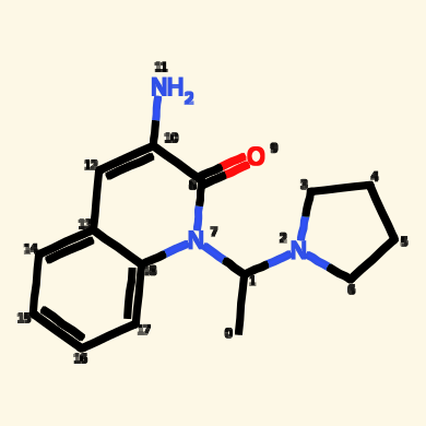 CC(N1CCCC1)n1c(=O)c(N)cc2ccccc21